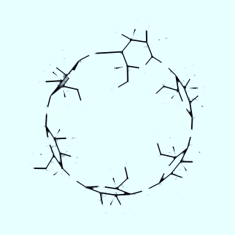 OC[C@H]1OC2OC3[C@@H](CO)OC(O[C@H]4[C@H](O)[C@@H](O)C(O[C@H]5[C@H](O)[C@@H](O)C(O[C@H]6[C@H](O)[C@@H](O)C(O[C@H]7[C@H](O)[C@@H](O)C(OC1[C@H](O)[C@H]2O)O[C@@H]7CO)O[C@@H]6CO)O[C@@H]5CO)O[C@@H]4CO)[C@H](O)[C@H]3O